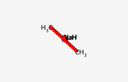 CCCCCCC=CCCCCCCCC(=O)OC(=O)CCCCCCCCCCCCCCC.[NaH].[NaH]